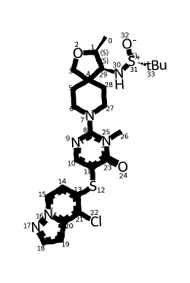 C[C@@H]1OCC2(CCN(c3ncc(Sc4ccn5nccc5c4Cl)c(=O)n3C)CC2)[C@@H]1N[S@+]([O-])C(C)(C)C